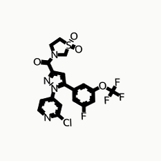 O=C(c1cc(-c2cc(F)cc(OC(F)(F)F)c2)n(-c2ccnc(Cl)c2)n1)N1CCS(=O)(=O)C1